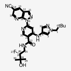 CC(C)(C)Cn1cc(Nc2cc(-n3ncc4cc(C#N)cnc43)ncc2C(=O)NC[C@@H](F)C(C)(C)O)cn1